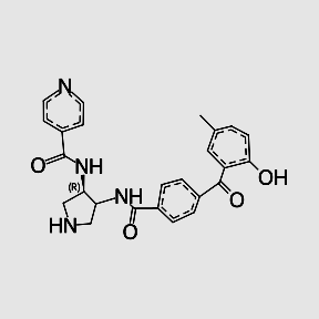 Cc1ccc(O)c(C(=O)c2ccc(C(=O)NC3CNC[C@H]3NC(=O)c3ccncc3)cc2)c1